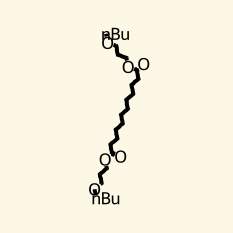 CCCCOCCCOC(=O)CCCCCCCCCCC(=O)OCCCOCCCC